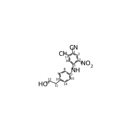 N#Cc1cc([N+](=O)[O-])c(Nc2ccc(CCO)cc2)cc1Cl